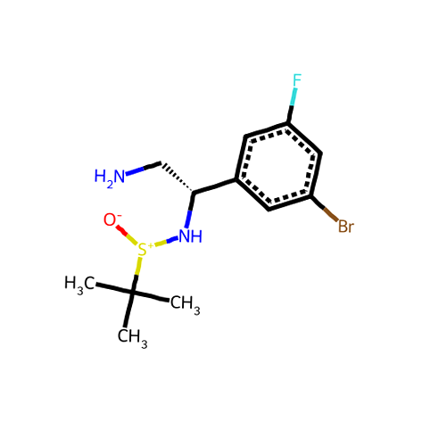 CC(C)(C)[S+]([O-])N[C@H](CN)c1cc(F)cc(Br)c1